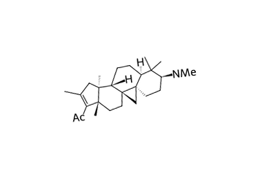 CN[C@H]1CC[C@]23C[C@]24CC[C@]2(C)C(C(C)=O)=C(C)C[C@@]2(C)[C@@H]4CC[C@H]3C1(C)C